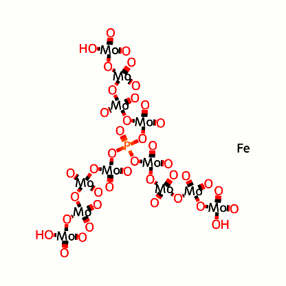 O=P([O][Mo](=[O])(=[O])[O][Mo](=[O])(=[O])[O][Mo](=[O])(=[O])[O][Mo](=[O])(=[O])[OH])([O][Mo](=[O])(=[O])[O][Mo](=[O])(=[O])[O][Mo](=[O])(=[O])[O][Mo](=[O])(=[O])[OH])[O][Mo](=[O])(=[O])[O][Mo](=[O])(=[O])[O][Mo](=[O])(=[O])[O][Mo](=[O])(=[O])[OH].[Fe]